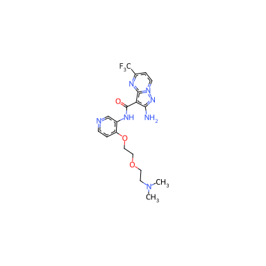 CN(C)CCOCCOc1ccncc1NC(=O)c1c(N)nn2ccc(C(F)(F)F)nc12